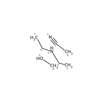 CC#N.CCNCC.CO